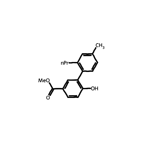 CCCc1cc(C)ccc1-c1cc(C(=O)OC)ccc1O